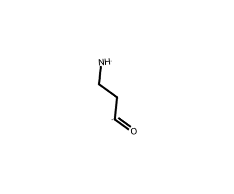 [NH]CC[C]=O